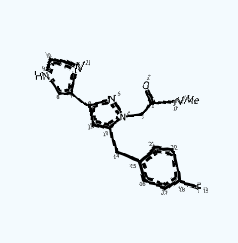 CNC(=O)Cn1nc(-c2c[nH]cn2)cc1Cc1ccc(F)cc1